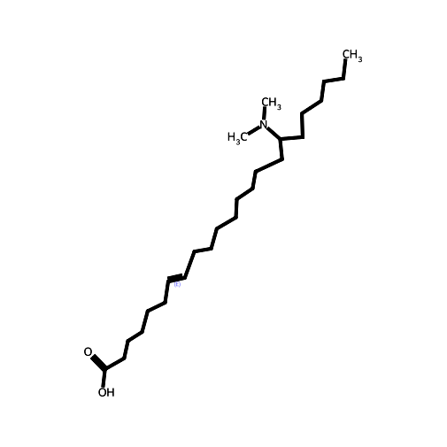 CCCCCCC(CCCCCCCC/C=C/CCCCCC(=O)O)N(C)C